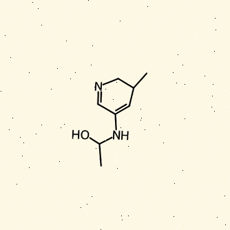 CC1C=C(NC(C)O)C=NC1